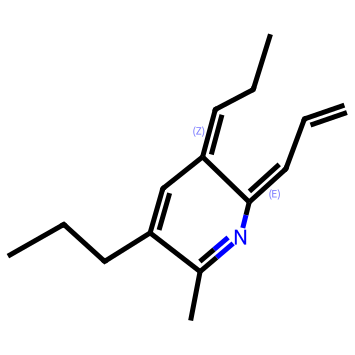 C=C/C=c1/nc(C)c(CCC)c/c1=C/CC